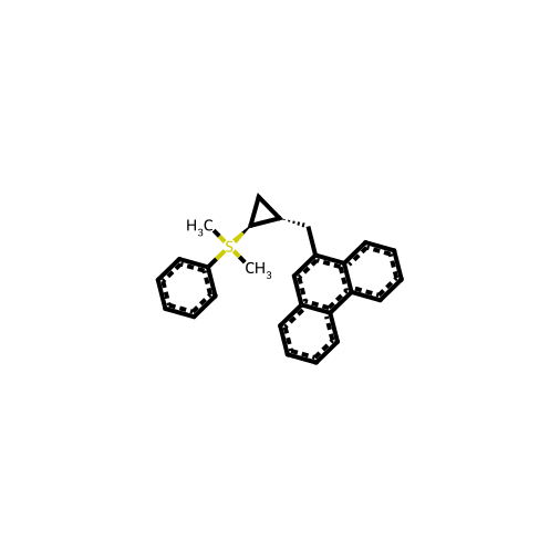 CS(C)(c1ccccc1)[C@H]1C[C@@H]1Cc1cc2ccccc2c2ccccc12